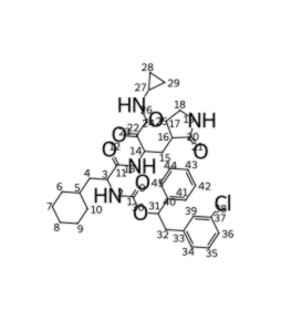 O=C(NC(CC1CCCCC1)C(=O)NC(CC1CCNC1=O)C(=O)C(=O)NC1CC1)OC(Cc1cccc(Cl)c1)c1ccccc1